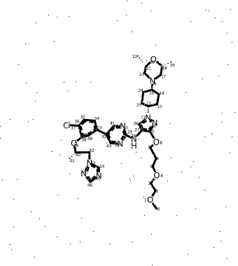 COCCOCCCOc1nn([C@H]2CC[C@H](N3C[C@@H](C)O[C@@H](C)C3)CC2)cc1Nc1ncc(-c2ccc(Cl)c(O[C@@H](C)Cn3cncn3)c2)cn1